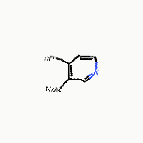 CCCc1ccncc1NC